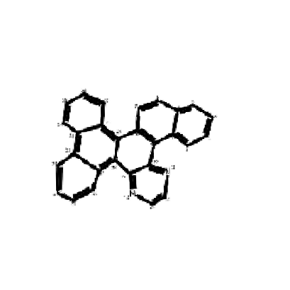 c1ccc2c(c1)ccc1c2c2nccnc2c2c3ccccc3c3ccccc3c12